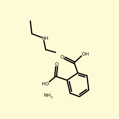 CCNCC.N.O=C(O)c1ccccc1C(=O)O